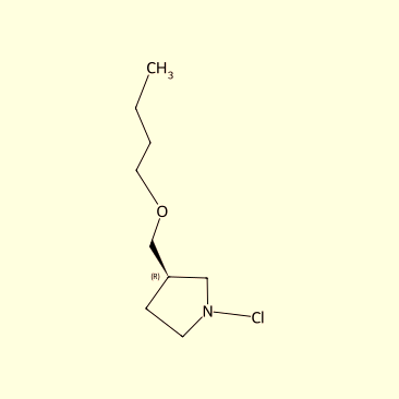 CCCCOC[C@@H]1CCN(Cl)C1